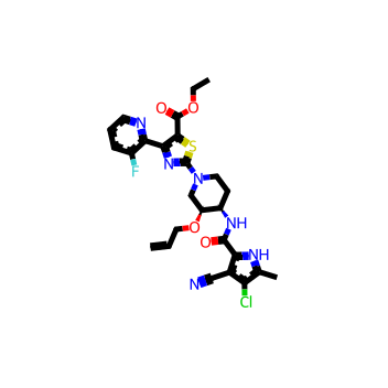 C=CCO[C@H]1CN(c2nc(-c3ncccc3F)c(C(=O)OCC)s2)CC[C@H]1NC(=O)c1[nH]c(C)c(Cl)c1C#N